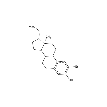 CCc1cc2c(cc1O)CCC1C2CC[C@@]2(C)C1CC[C@@H]2CSC